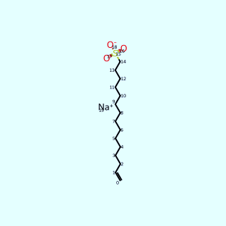 C=CCCCCCCCCCCCCCS(=O)(=O)[O-].[Na+]